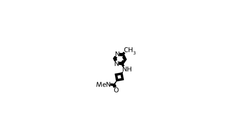 CNC(=O)[C@H]1C[C@H](Nc2cc(C)ncn2)C1